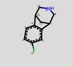 Fc1ccc2c(c1)C1CNCC2C1